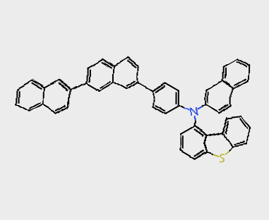 c1ccc2cc(-c3ccc4ccc(-c5ccc(N(c6ccc7ccccc7c6)c6cccc7sc8ccccc8c67)cc5)cc4c3)ccc2c1